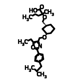 CCCC(C)(OC[C@@H]1CCC[C@H](OCc2nc(-c3ccc(CC(C)C)cc3)oc2CC)C1)C(=O)O